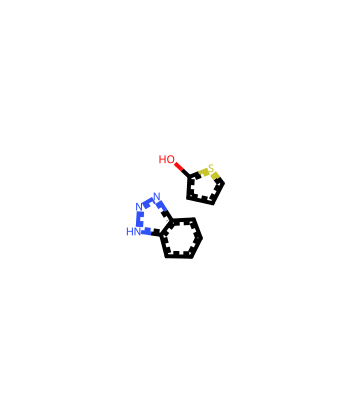 Oc1cccs1.c1ccc2[nH]nnc2c1